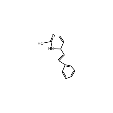 C=CC(C=Cc1ccccc1)NC(=O)O